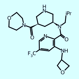 CC(C)CN(C(=O)c1ncc(C(F)(F)F)cc1NC1COC1)[C@@H]1CNC[C@H](C(=O)N2CCOCC2)C1